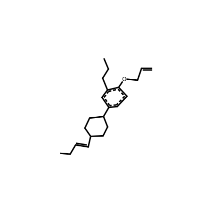 C=CCOc1ccc(C2CCC(C=CCC)CC2)cc1CCC